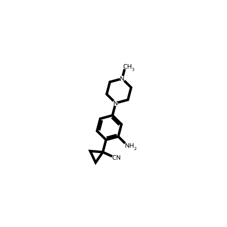 CN1CCN(c2ccc(C3(C#N)CC3)c(N)c2)CC1